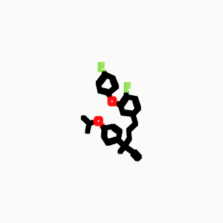 C#CC(C)(CCCc1ccc(F)c(Oc2ccc(F)cc2)c1)c1ccc(OC(C)C)cc1